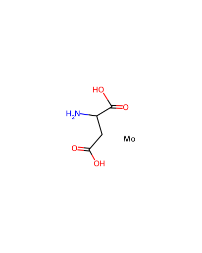 NC(CC(=O)O)C(=O)O.[Mo]